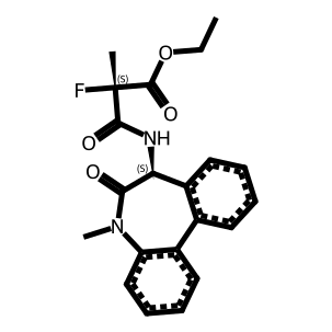 CCOC(=O)[C@@](C)(F)C(=O)N[C@@H]1C(=O)N(C)c2ccccc2-c2ccccc21